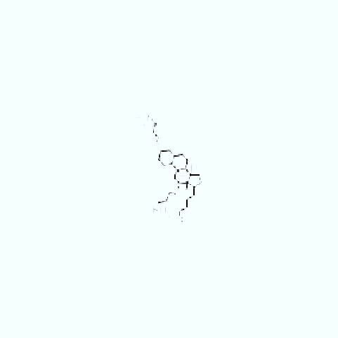 C[C@H](CCCO)C1CC[C@H]2C3CCC4C[C@H](OCCCN)CC[C@]4(C)[C@H]3C[C@H](OCCCN)C12C